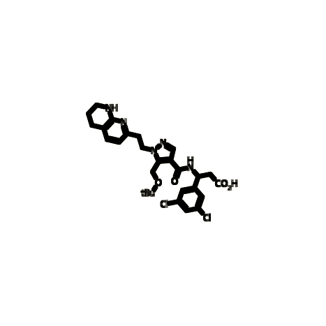 CC(C)(C)OCc1c(C(=O)NC(CC(=O)O)c2cc(Cl)cc(Cl)c2)cnn1CCc1ccc2c(n1)NCCC2